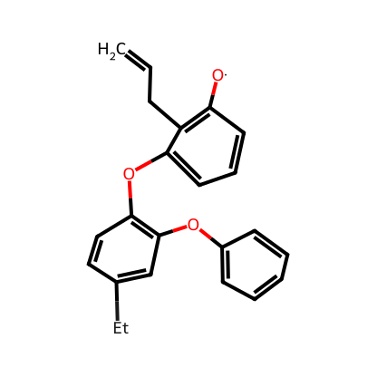 C=CCc1c([O])cccc1Oc1ccc(CC)cc1Oc1ccccc1